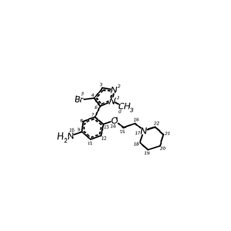 Cn1ncc(Br)c1-c1cc(N)ccc1OCCN1CCCCC1